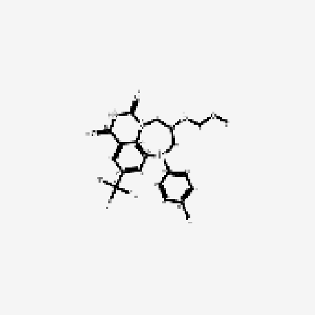 COCO[C@@H]1Cn2c(=O)[nH]c(=O)c3cc(C(F)(F)F)cc(c32)[SH](c2ccc(F)cc2)C1